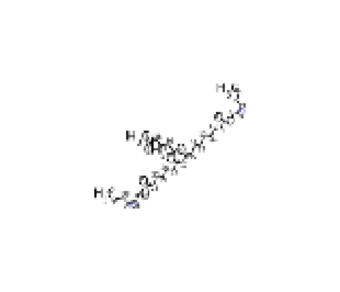 CCC/C=C\COC(=O)CCCCCCCC(CCCCCCCC(=O)OC/C=C\CCC)OC(=O)CCCN(C)C